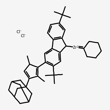 CC1=C(c2cc3c(cc2C(C)(C)C)[CH]([Zr+2]=[C]2CCCCC2)c2cc(C(C)(C)C)ccc2-3)C(C)C=C1C12CC3CC(CC(C3)C1)C2.[Cl-].[Cl-]